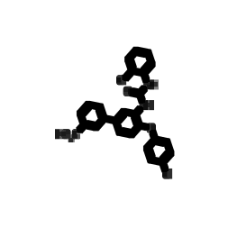 O=C(Nc1ccccc1Cl)Nc1cc(-c2cccc(C(=O)O)c2)ccc1Oc1ccc(Cl)cc1